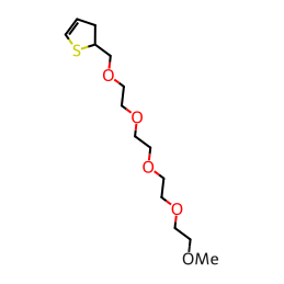 COCCOCCOCCOCCOCC1CC=CS1